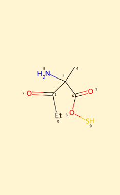 CCC(=O)C(C)(N)C(=O)OS